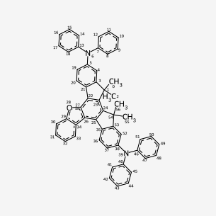 CC1(C)c2cc(N(c3ccccc3)c3ccccc3)ccc2-c2c1c1c(c3c2oc2ccccc23)-c2ccc(N(c3ccccc3)c3ccccc3)cc2C1(C)C